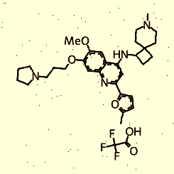 COc1cc2c(NC3CCC34CCN(C)CC4)cc(-c3ccc(C)o3)nc2cc1OCCCN1CCCC1.O=C(O)C(F)(F)F